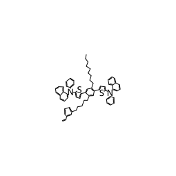 C=Cc1cccc(CCCCCc2cc(-c3ccc(N(c4ccccc4)c4cccc5ccccc45)s3)c(CCCCCCCCC)cc2-c2ccc(N(c3ccccc3)c3cccc4ccccc34)s2)c1